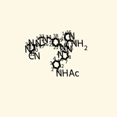 CC(=O)Nc1cccc(-c2ccc3nc(-c4cccnc4N)n(-c4ccc(CN5CCN(c6cc(C#N)ncn6)CC5)cc4)c3n2)c1